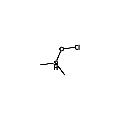 C[SiH](C)OCl